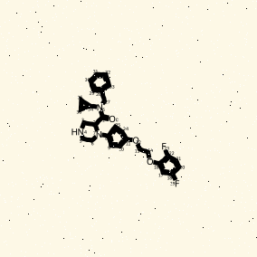 O=C(C1CNCCN1c1ccc(OCCOc2cc(F)ccc2F)cc1)N(Cc1ccccc1)C1CC1